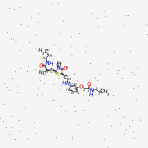 C=CCNC(=O)COc1cccc(NC=C=c2sc(=C=C(C#N)C(=O)NCC=C)n(CC)c2=O)c1